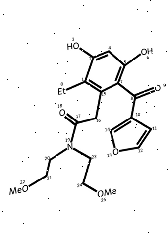 CCc1c(O)cc(O)c(C(=O)c2ccoc2)c1CC(=O)N(CCOC)CCOC